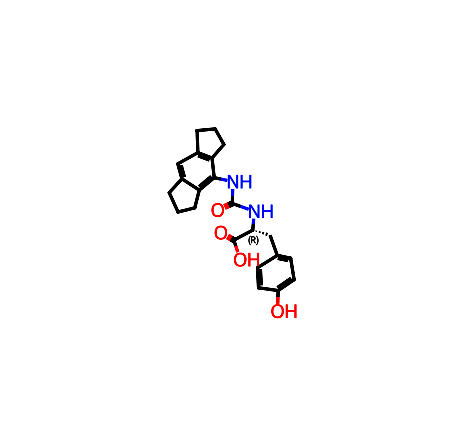 O=C(Nc1c2c(cc3c1CCC3)CCC2)N[C@H](Cc1ccc(O)cc1)C(=O)O